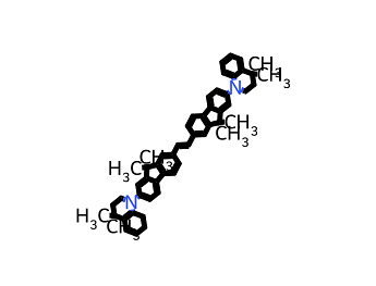 CC1(C)CCN(c2ccc3c(c2)C(C)(C)c2cc(/C=C/c4ccc5c(c4)C(C)(C)c4cc(N6CCC(C)(C)c7ccccc76)ccc4-5)ccc2-3)C2=C1C=CCC2